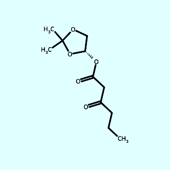 CCCC(=O)CC(=O)O[C@H]1COC(C)(C)O1